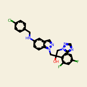 OC(Cn1cncn1)(Cn1ncc2cc(NCc3ccc(Cl)cc3)ccc21)c1ccc(F)cc1F